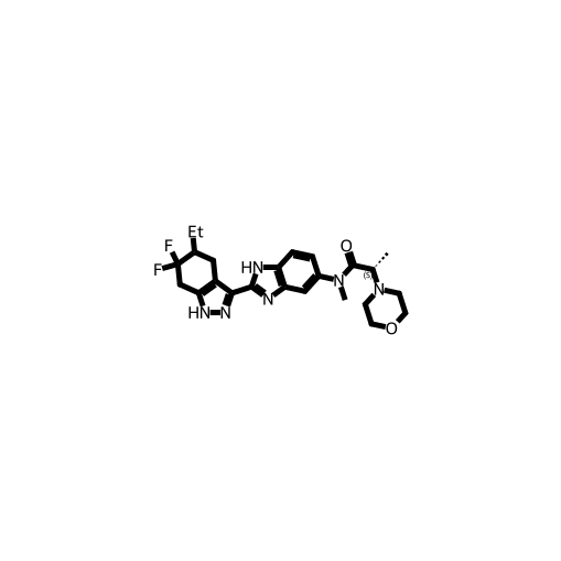 CCC1Cc2c(-c3nc4cc(N(C)C(=O)[C@H](C)N5CCOCC5)ccc4[nH]3)n[nH]c2CC1(F)F